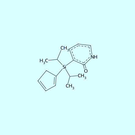 CC(C)[Si](C1=CC=CC1)(c1ccc[nH]c1=O)C(C)C